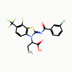 CCC(C(=O)O)n1/c(=N/C(=O)c2cccc(Cl)c2)sc2c(F)c(C(F)(F)F)ccc21